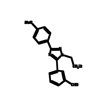 CCOC(=O)Cn1nc(-c2ccc(OC)cc2)nc1-c1cccc(C=O)c1